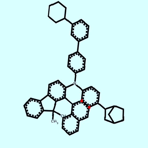 CC1(C)c2ccccc2-c2ccc(N(c3ccc(-c4cccc(C5CCCCC5)c4)cc3)c3ccc(C4CC5CCC4C5)cc3)c(-c3cccc4ccccc34)c21